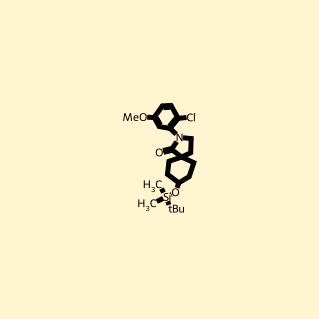 COc1ccc(Cl)c(N2CCC3(CCC(O[Si](C)(C)C(C)(C)C)CC3)C2=O)c1